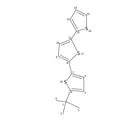 CC(C)(C)c1ccc(-c2ccc(-c3cccs3)s2)s1